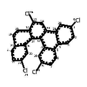 Clc1ccc2c3ccc(Cl)cc3c3c(cc(Cl)c4ccc5ccc(Cl)cc5c43)c2c1